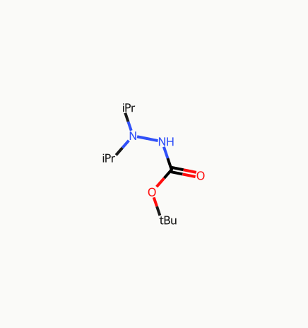 CC(C)N(NC(=O)OC(C)(C)C)C(C)C